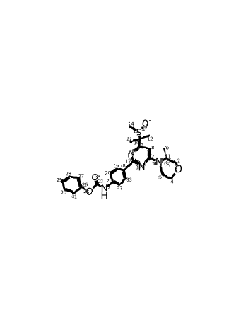 C[C@H]1COCCN1c1cc(C(C)(C)[S+](C)[O-])nc(-c2ccc(NC(=O)Oc3ccccc3)cc2)n1